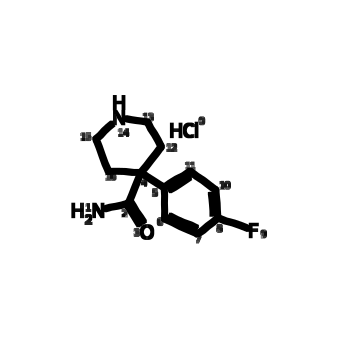 Cl.NC(=O)C1(c2ccc(F)cc2)CCNCC1